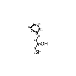 OC(CS)CCc1ccccc1